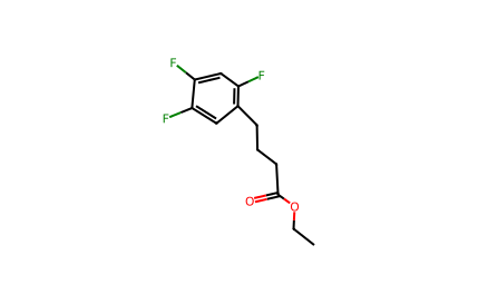 CCOC(=O)CCCc1cc(F)c(F)cc1F